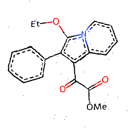 CCOc1c(-c2ccccc2)c(C(=O)C(=O)OC)c2ccccn12